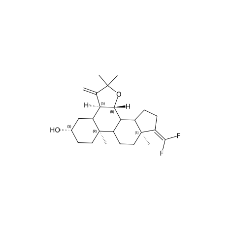 C=C1[C@@H]2C3C[C@@H](O)CC[C@]3(C)C3CC[C@]4(C)C(=C(F)F)CCC4C3[C@H]2OC1(C)C